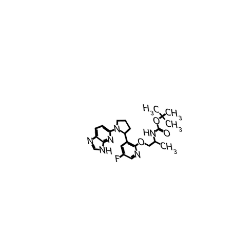 CC(COc1ncc(F)cc1C1CCCN1c1ccc2nc[nH]c2n1)NC(=O)OC(C)(C)C